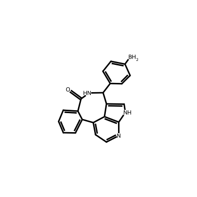 Bc1ccc(C2NC(=O)c3ccccc3-c3ccnc4[nH]cc2c34)cc1